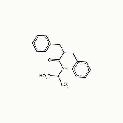 O=C(NC(C(=O)O)C(=O)O)C(Cc1ccccc1)Cc1ccccc1